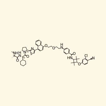 CN[C@@H](C)C(=O)N[C@H](C(=O)N1CCC[C@H]1c1nc(-c2ccc(OCCOCCNc3ccc(C(=O)NC4C(C)(C)C(Oc5ccc(C#N)c(Cl)c5)C4(C)C)cc3)c3ccccc23)cs1)C1CCCCC1